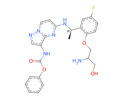 C[C@@H](Nc1ccn2ncc(NC(=O)Oc3ccccc3)c2n1)c1cc(F)ccc1OCC(N)CO